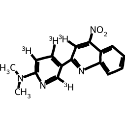 [3H]c1nc(N(C)C)c([3H])c([3H])c1-c1nc2ccccc2c([N+](=O)[O-])c1[3H]